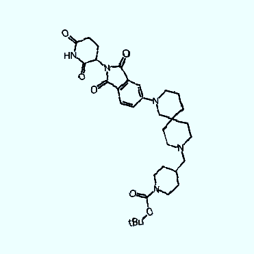 CC(C)(C)OC(=O)N1CCC(CN2CCC3(CCCN(c4ccc5c(c4)C(=O)N(C4CCC(=O)NC4=O)C5=O)C3)CC2)CC1